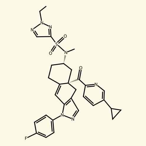 CCn1ncc(S(=O)(=O)N(C)[C@H]2CCC3=Cc4c(cnn4-c4ccc(F)cc4)C[C@]3(C(=O)c3ccc(C4CC4)cn3)C2)n1